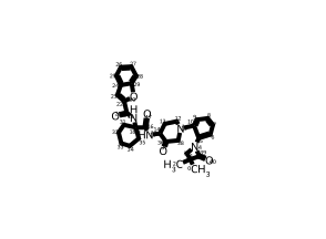 CC1(C)CN(c2ccccc2N2CCC(NC(=O)C3(NC(=O)c4cc5ccccc5o4)CCCCC3)C(=O)C2)C1=O